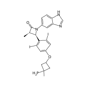 C[C@H]1C(=O)N(c2ccc3[nH]cnc3c2)[C@H]1c1c(I)cc(OC2CC(C)(P)C2)cc1I